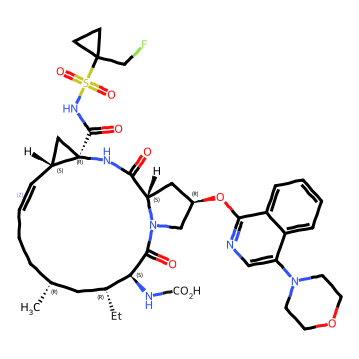 CC[C@@H]1C[C@H](C)CC/C=C\[C@@H]2C[C@@]2(C(=O)NS(=O)(=O)C2(CF)CC2)NC(=O)[C@@H]2C[C@@H](Oc3ncc(N4CCOCC4)c4ccccc34)CN2C(=O)[C@H]1NC(=O)O